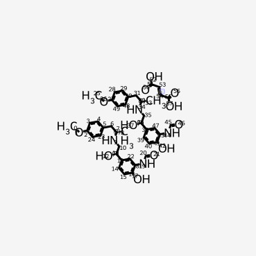 COc1ccc(C[C@@H](C)NC[C@H](O)c2ccc(O)c(NC=O)c2)cc1.COc1ccc(C[C@@H](C)NC[C@H](O)c2ccc(O)c(NC=O)c2)cc1.O=C(O)/C=C/C(=O)O